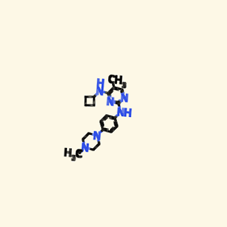 Cc1cnc(Nc2ccc(N3CCN(C)CC3)cc2)nc1NC1CCC1